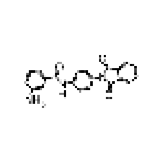 Nc1cccc(C(=O)Nc2ccc(N3C(=O)c4ccccc4C3=O)cc2)c1